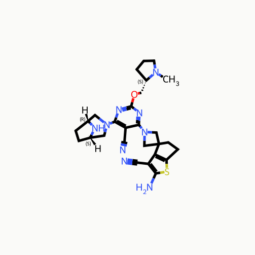 CN1CCC[C@H]1COc1nc(N2C[C@H]3CC[C@@H](C2)N3)c(C#N)c(N2CC3(CCc4sc(N)c(C#N)c43)C2)n1